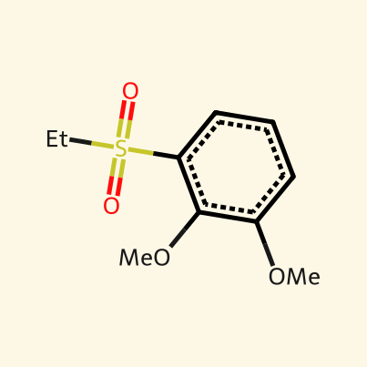 [CH2]CS(=O)(=O)c1cccc(OC)c1OC